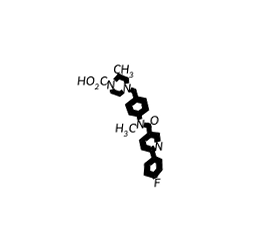 C[C@@H]1CN(Cc2ccc(N(C)C(=O)c3ccc(-c4ccc(F)cc4)nc3)cc2)CCN1C(=O)O